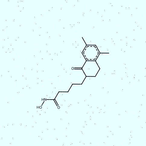 Cc1cc(C)c2c(c1)C(=O)C(CCCCC(=O)NO)CC2